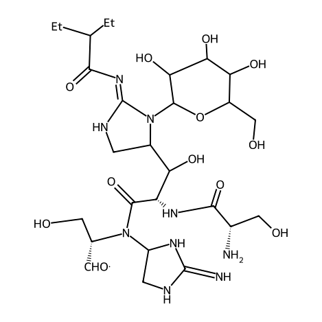 CCC(CC)C(=O)N=C1NCC(C(O)[C@H](NC(=O)[C@@H](N)CO)C(=O)N(C2CNC(=N)N2)[C@H]([C]=O)CO)N1C1OC(CO)C(O)C(O)C1O